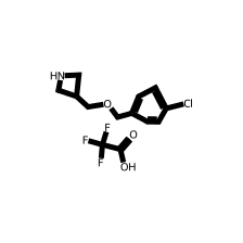 Clc1ccc(COCC2CNC2)cc1.O=C(O)C(F)(F)F